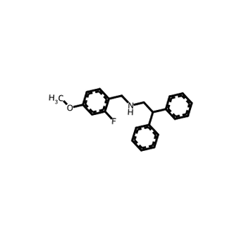 COc1ccc(CNCC(c2ccccc2)c2ccccc2)c(F)c1